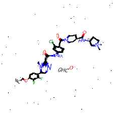 Cn1c(-c2ccc(OCC#N)c(F)c2F)cnc1C(=O)Nc1ccc(C(=O)N2CCC(C(=O)N[C@H]3CC[N+](C)(C)C3)CC2)c(Cl)c1.O=C[O-]